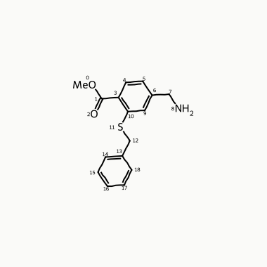 COC(=O)c1ccc(CN)cc1SCc1ccccc1